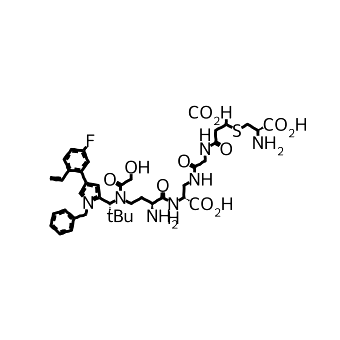 C=Cc1ccc(F)cc1-c1cc([C@H](N(CC[C@H](N)C(=O)N[C@H](CNC(=O)CNC(=O)CC(SC[C@H](N)C(=O)O)C(=O)O)C(=O)O)C(=O)CO)C(C)(C)C)n(Cc2ccccc2)c1